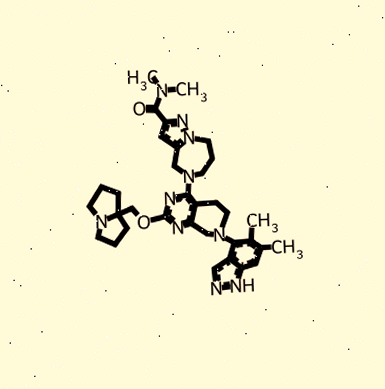 Cc1cc2[nH]ncc2c(N2CCc3c(nc(OCC45CCCN4CCC5)nc3N3CCCn4nc(C(=O)N(C)C)cc4C3)C2)c1C